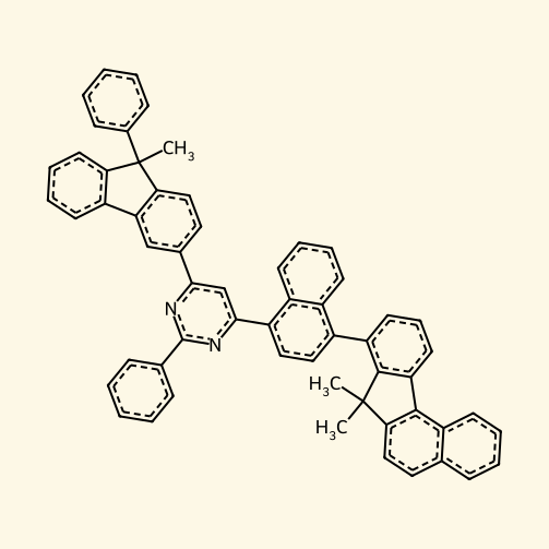 CC1(C)c2ccc3ccccc3c2-c2cccc(-c3ccc(-c4cc(-c5ccc6c(c5)-c5ccccc5C6(C)c5ccccc5)nc(-c5ccccc5)n4)c4ccccc34)c21